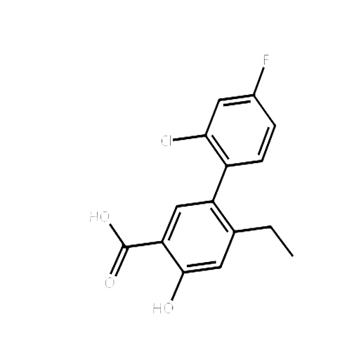 CCc1cc(O)c(C(=O)O)cc1-c1ccc(F)cc1Cl